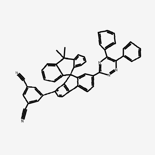 CC1(C)c2ccccc2C2(c3cc(-c4cc(C#N)cc(C#N)c4)ccc3-c3ccc(-c4nnc(-c5ccccc5)c(-c5ccccc5)n4)cc32)c2ccccc21